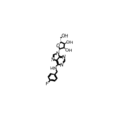 OC[C@H]1O[C@@H](n2cnc3c(NCc4ccc(F)cc4)ncnc32)[C@H](O)[C@@H]1O